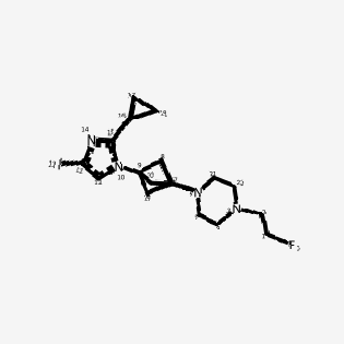 FCCN1CCN(C23CC(n4cc(I)nc4C4CC4)(C2)C3)CC1